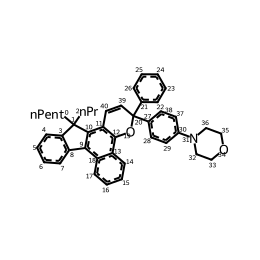 CCCCCC1(CCC)c2ccccc2-c2c1c1c(c3ccccc23)OC(c2ccccc2)(c2ccc(N3CCOCC3)cc2)C=C1